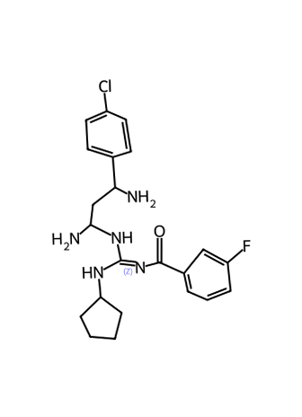 NC(CC(N)c1ccc(Cl)cc1)N/C(=N\C(=O)c1cccc(F)c1)NC1CCCC1